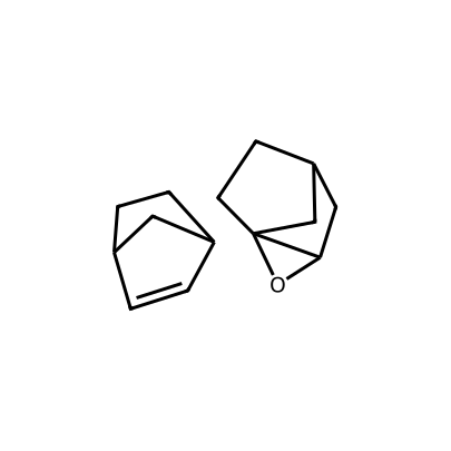 C1=CC2CCC1C2.C1CC23CC1CC2O3